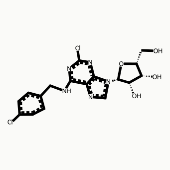 OC[C@H]1O[C@@H](n2cnc3c(NCc4ccc(Cl)cc4)nc(Cl)nc32)[C@@H](O)[C@H]1O